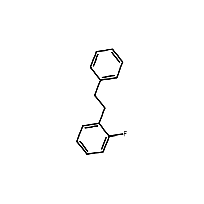 Fc1ccccc1[CH]Cc1ccccc1